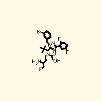 CC(C)(C)[C@H](c1nc(-c2cc(F)ccc2F)nn1Cc1cccc(Br)c1)N(CCC(N)CF)C(=O)CO